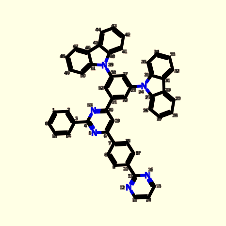 c1ccc(-c2nc(-c3ccc(-c4ncccn4)cc3)cc(-c3cc(-n4c5ccccc5c5ccccc54)cc(-n4c5ccccc5c5ccccc54)c3)n2)cc1